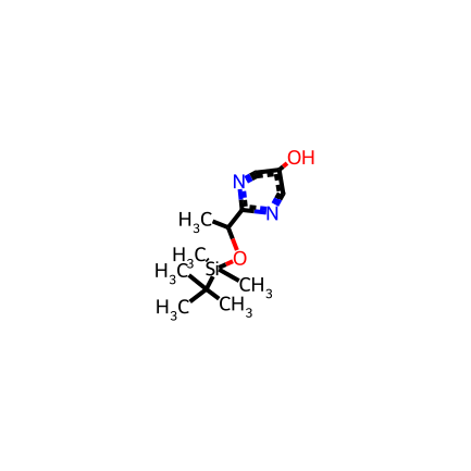 CC(O[Si](C)(C)C(C)(C)C)c1ncc(O)cn1